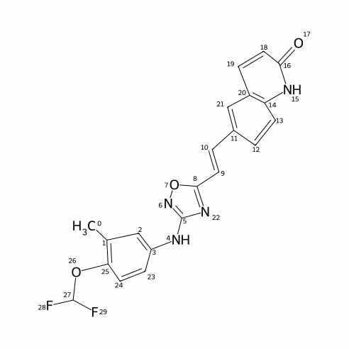 Cc1cc(Nc2noc(/C=C/c3ccc4[nH]c(=O)ccc4c3)n2)ccc1OC(F)F